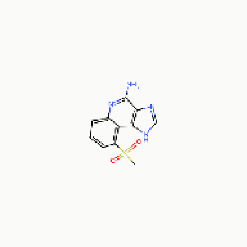 CS(=O)(=O)c1cccc2nc(N)c3nc[nH]c3c12